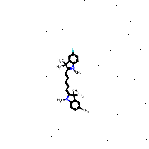 Cc1ccc2c(c1)C(C)(C)\C(=C/C=C/C=C/C1=[N+](C)c3ccc(F)cc3C1(C)C)N2C